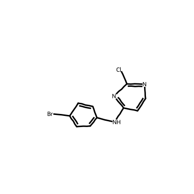 Clc1nccc(Nc2ccc(Br)cc2)n1